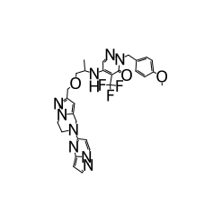 COc1ccc(Cn2ncc(NC(C)COCc3cc4n(n3)CCN(c3ccn5nccc5n3)C4)c(C(F)(F)F)c2=O)cc1